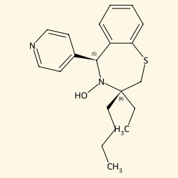 CCCC[C@]1(CC)CSc2ccccc2[C@H](c2ccncc2)N1O